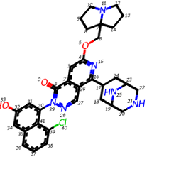 O=c1c2cc(OCC34CCCN3CCC4)nc(C3CC4CNCC(C3)N4)c2cnn1-c1cc(O)cc2cccc(Cl)c12